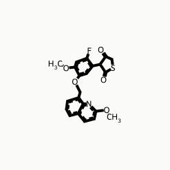 COc1ccc2cccc(COc3cc(C4C(=O)CSC4=O)c(F)cc3OC)c2n1